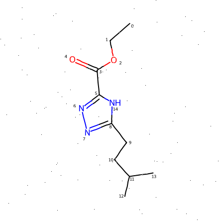 CCOC(=O)c1nnc(CCC(C)C)[nH]1